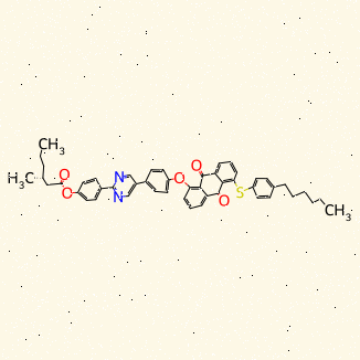 CCCCCCc1ccc(Sc2cccc3c2C(=O)c2cccc(Oc4ccc(-c5cnc(-c6ccc(OC(=O)C[C@H](C)CCC)cc6)nc5)cc4)c2C3=O)cc1